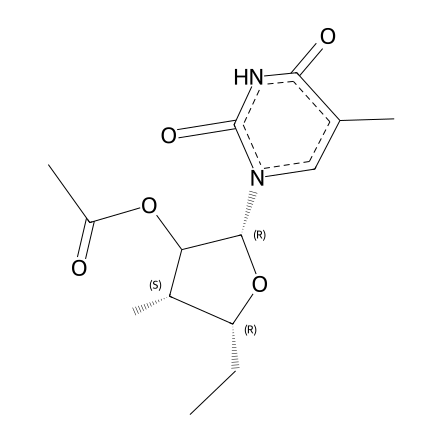 CC[C@H]1O[C@@H](n2cc(C)c(=O)[nH]c2=O)C(OC(C)=O)[C@H]1C